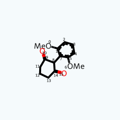 COc1cccc(OC)c1C1C(=O)CCCC1=O